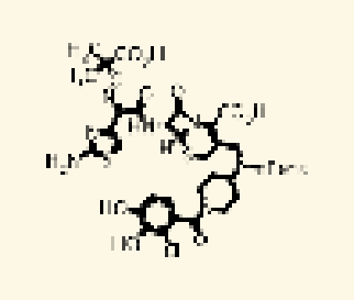 CCCCCN(CC1=C(C(=O)O)N2C(=O)[C@@H](NC(=O)/C(=N\OC(C)(C)C(=O)O)c3csc(N)n3)[C@H]2SC1)C1CCN(C(=O)c2ccc(O)c(O)c2Cl)CC1